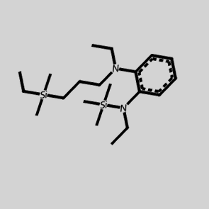 CCN(CCC[Si](C)(C)CC)c1ccccc1N(CC)[Si](C)(C)C